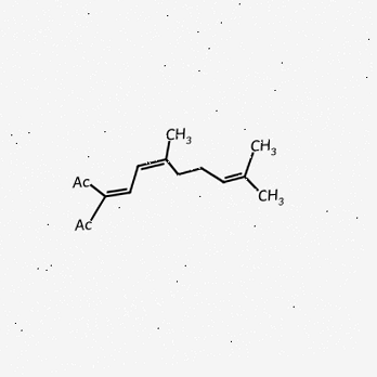 CC(=O)C(=C/C=C(/C)CCC=C(C)C)C(C)=O